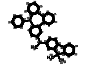 CN(c1ccc2c(c1)-c1ccccc1-c1ccccc1N2c1ccccc1)c1ccc2c(c1)C(C)(C)c1ccccc1-2